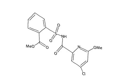 COC(=O)c1ccccc1S(=O)(=O)NC(=O)c1cc(Cl)cc(OC)n1